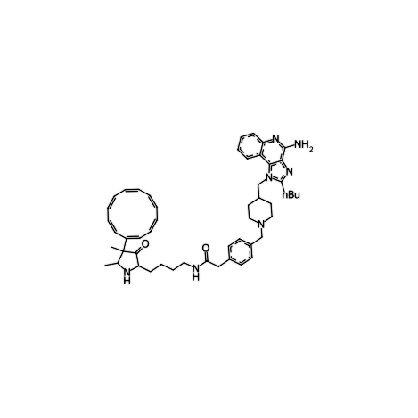 CCCCc1nc2c(N)nc3ccccc3c2n1CC1CCN(Cc2ccc(CC(=O)NCCCCC3NC(C)C(C)(C4=C/C=C\C=C/C=C\C=C/C=C\4)C3=O)cc2)CC1